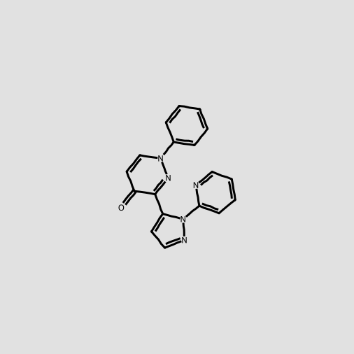 O=c1ccn(-c2ccccc2)nc1-c1ccnn1-c1ccccn1